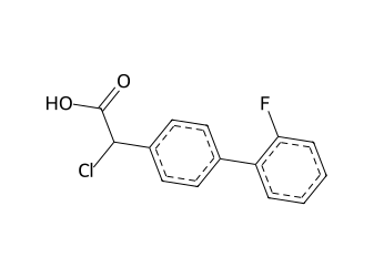 O=C(O)C(Cl)c1ccc(-c2ccccc2F)cc1